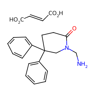 NCN1CC(c2ccccc2)(c2ccccc2)CCC1=O.O=C(O)C=CC(=O)O